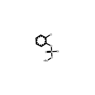 CCCCOP(=O)(CC)Oc1ccccc1Cl